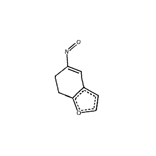 O=NC1=Cc2ccoc2CC1